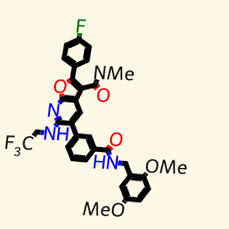 CNC(=O)c1c(-c2ccc(F)cc2)oc2nc(NCC(F)(F)F)c(-c3cccc(C(=O)NCc4cc(OC)ccc4OC)c3)cc12